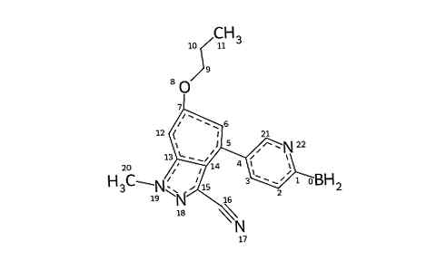 Bc1ccc(-c2cc(OCCC)cc3c2c(C#N)nn3C)cn1